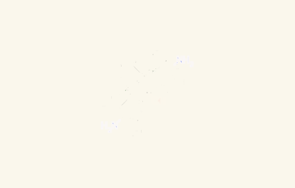 CCc1cc(C(O)(c2cc(CC)c(N)c(CC)c2)C2C(Cl)=CC=CC2Cl)cc(CC)c1N